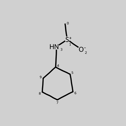 C[S+]([O-])NC1CCCCC1